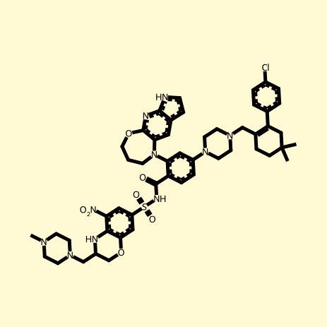 CN1CCN(CC2COc3cc(S(=O)(=O)NC(=O)c4ccc(N5CCN(CC6=C(c7ccc(Cl)cc7)CC(C)(C)CC6)CC5)cc4N4CCCOc5nc6[nH]ccc6cc54)cc([N+](=O)[O-])c3N2)CC1